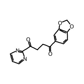 O=C(CCC(=O)c1ncccn1)c1ccc2c(c1)OCO2